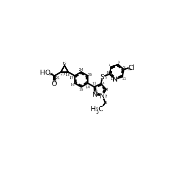 CCn1cc(Sc2ccc(Cl)cn2)c(-c2ccc(C3CC3C(=O)O)cc2)n1